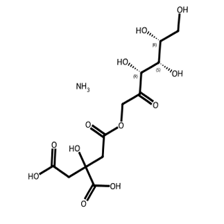 N.O=C(O)CC(O)(CC(=O)OCC(=O)[C@H](O)[C@@H](O)[C@H](O)CO)C(=O)O